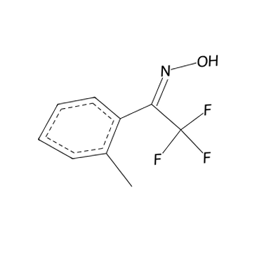 Cc1ccccc1/C(=N/O)C(F)(F)F